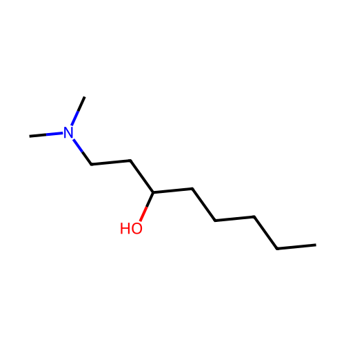 CCCCCC(O)CCN(C)C